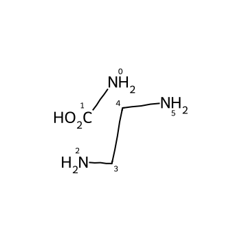 NC(=O)O.NCCN